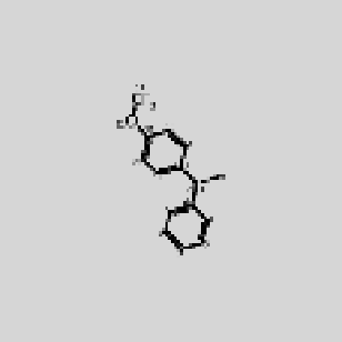 C[C@@H](c1ccccc1)c1ccc(OC(F)(F)F)cc1